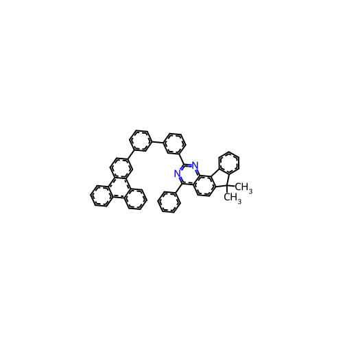 CC1(C)c2ccccc2-c2c1ccc1c(-c3ccccc3)nc(-c3cccc(-c4cccc(-c5ccc6c7ccccc7c7ccccc7c6c5)c4)c3)nc21